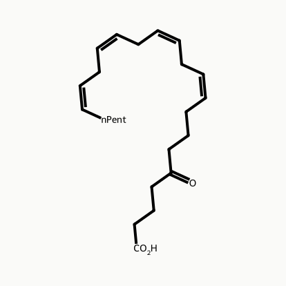 CCCCC/C=C\C/C=C\C/C=C\C/C=C\CCCC(=O)CCCC(=O)O